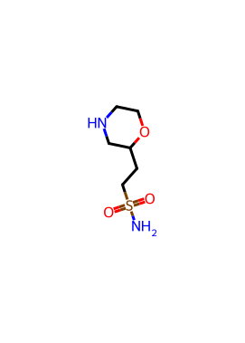 NS(=O)(=O)CCC1CNCCO1